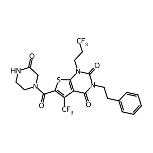 O=C1CN(C(=O)c2sc3c(c2C(F)(F)F)c(=O)n(CCc2ccccc2)c(=O)n3CCC(F)(F)F)CCN1